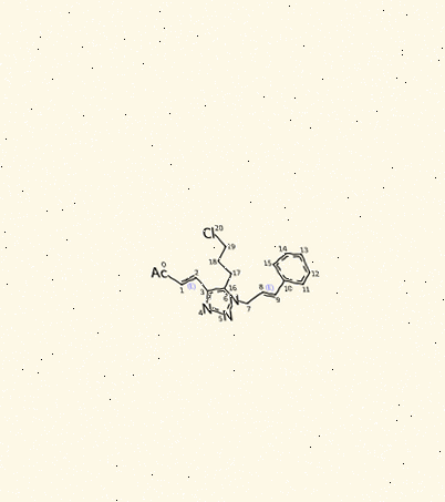 CC(=O)/C=C/c1nnn(C/C=C/c2ccccc2)c1CCCCl